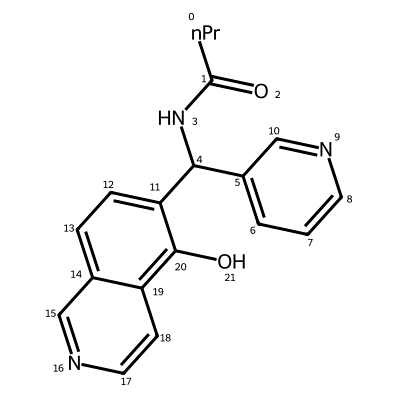 CCCC(=O)NC(c1cccnc1)c1ccc2cnccc2c1O